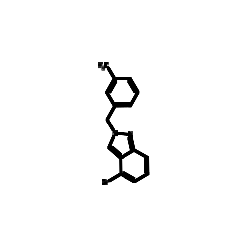 FC(F)(F)c1cccc(Cn2cc3c(Br)cccc3n2)c1